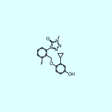 Cn1nnn(-c2cccc(F)c2COc2ccc(O)cc2C2CC2)c1=O